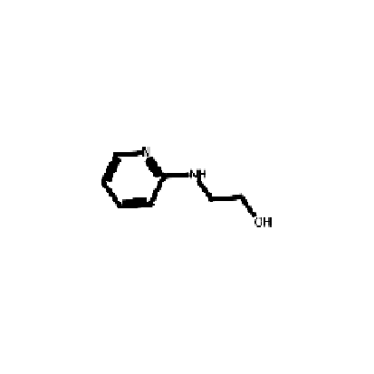 OCCNc1[c]cccn1